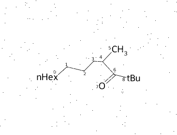 CCCCCCCCCC(C)C(=O)C(C)(C)C